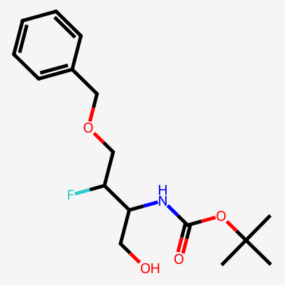 CC(C)(C)OC(=O)NC(CO)C(F)COCc1ccccc1